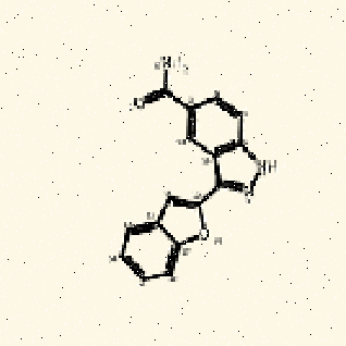 NC(=O)c1ccc2[nH]nc(-c3cc4ccccc4o3)c2c1